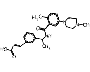 Cc1ccc(N2CCN(C)CC2)cc1C(=O)NC(C)c1cccc(C=CC(=O)O)c1